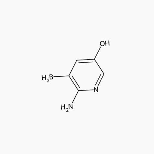 Bc1cc(O)cnc1N